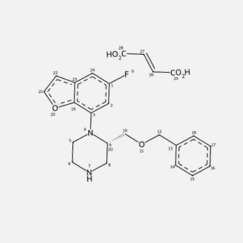 Fc1cc(N2CCNC[C@H]2COCc2ccccc2)c2occc2c1.O=C(O)C=CC(=O)O